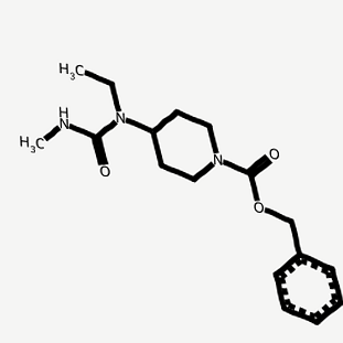 CCN(C(=O)NC)C1CCN(C(=O)OCc2ccccc2)CC1